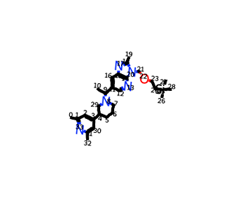 Cc1cc(C2CCCN(C(C)c3cnc4c(c3)nc(C)n4COCC[Si](C)(C)C)C2)cc(C)n1